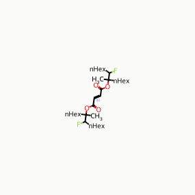 CCCCCCC(F)C(C)(CCCCCC)OC(=O)/C=C/C(=O)OC(C)(CCCCCC)C(F)CCCCCC